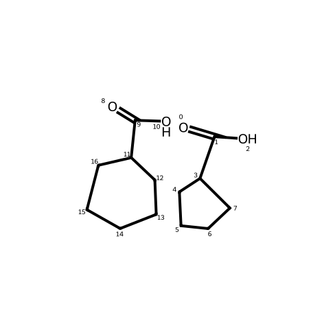 O=C(O)C1CCCC1.O=C(O)C1CCCCC1